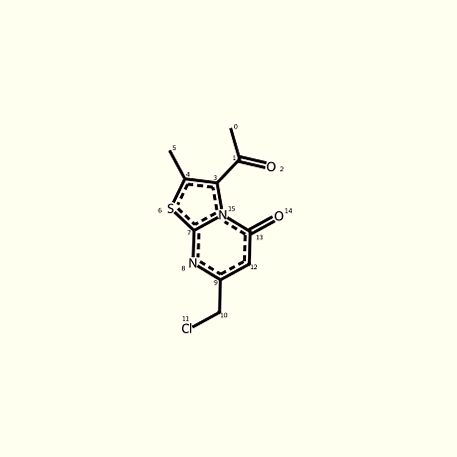 CC(=O)c1c(C)sc2nc(CCl)cc(=O)n12